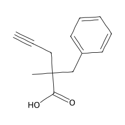 C#CCC(C)(Cc1ccccc1)C(=O)O